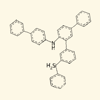 c1ccc([SiH2]c2cccc(-c3cc(-c4ccccc4)ccc3Nc3ccc(-c4ccccc4)cc3)c2)cc1